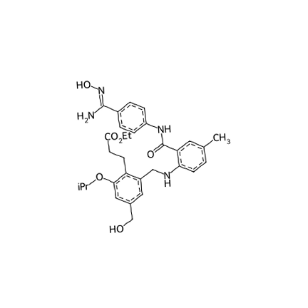 CCOC(=O)CCc1c(CNc2ccc(C)cc2C(=O)Nc2ccc(/C(N)=N/O)cc2)cc(CO)cc1OC(C)C